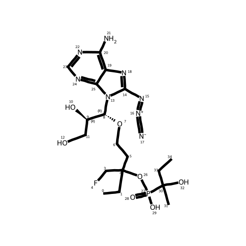 CCC(CF)(CCO[C@H]([C@H](O)CO)n1c(N=[N+]=[N-])nc2c(N)ncnc21)OP(=O)(O)C(C)(O)CC